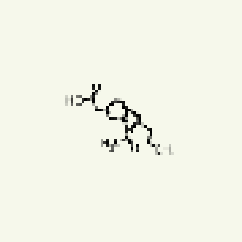 CCCc1cc2ccc(CC(=O)O)cc2n1C(C)=O